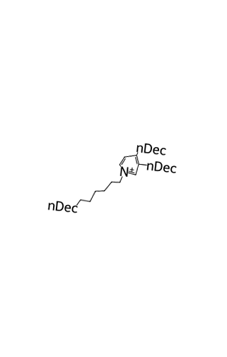 CCCCCCCCCCCCCCCC[n+]1ccc(CCCCCCCCCC)c(CCCCCCCCCC)c1